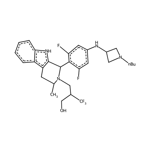 CCCCN1CC(Nc2cc(F)c(C3c4[nH]c5ccccc5c4CC(C)N3CC(CO)C(F)(F)F)c(F)c2)C1